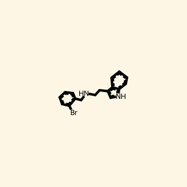 Brc1ccccc1CNCCc1c[nH]c2ccccc12